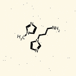 Cn1ccnc1.NCCCn1ccnc1